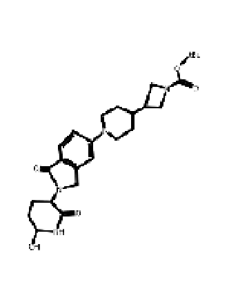 CC(C)(C)OC(=O)N1CC(C2CCN(c3ccc4c(c3)CN(C3CCC(O)NC3=O)C4=O)CC2)C1